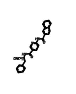 O=C[C@H](Cc1ccccc1)NC(=O)c1ccc(NC(=O)c2ccc3ccccc3c2)nc1